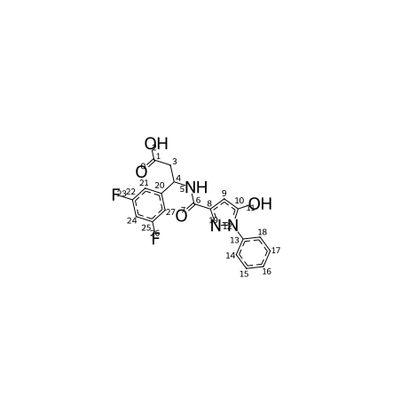 O=C(O)CC(NC(=O)c1cc(O)n(-c2ccccc2)n1)c1cc(F)cc(F)c1